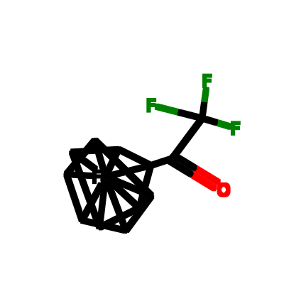 O=C(C(F)(F)F)[C]12[CH]3[CH]4[CH]5[CH]1[Fe]45321678[CH]2[CH]1[CH]6[CH]7[CH]28